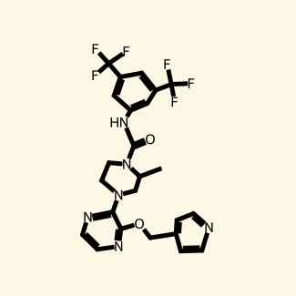 CC1CN(c2nccnc2OCc2ccncc2)CCN1C(=O)Nc1cc(C(F)(F)F)cc(C(F)(F)F)c1